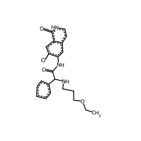 CCOCCCNC(C(=O)Nc1cc2cc[nH]c(=O)c2cc1Cl)c1ccccc1